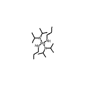 CCC[NH][Mo]([NH]CCC)([N](C(C)C)C(C)C)[N](C(C)C)C(C)C